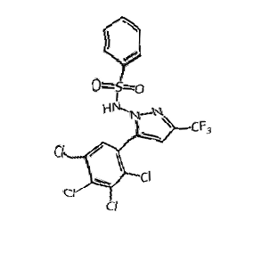 O=S(=O)(Nn1nc(C(F)(F)F)cc1-c1cc(Cl)c(Cl)c(Cl)c1Cl)c1ccccc1